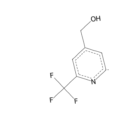 OCc1c[c]nc(C(F)(F)F)c1